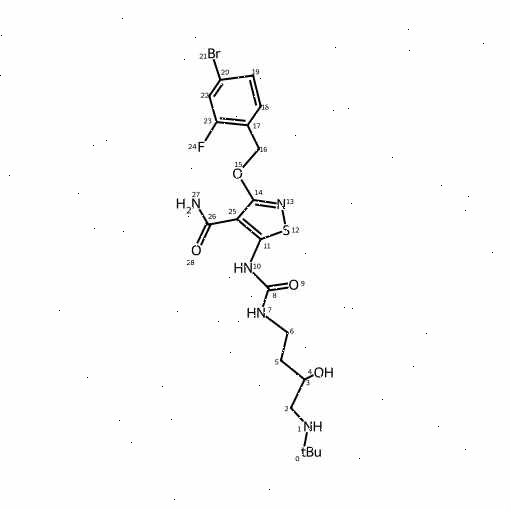 CC(C)(C)NCC(O)CCNC(=O)Nc1snc(OCc2ccc(Br)cc2F)c1C(N)=O